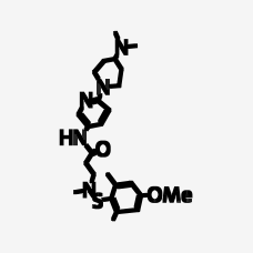 COc1cc(C)c(SN(C)CCC(=O)Nc2ccc(N3CCC(N(C)C)CC3)nc2)c(C)c1